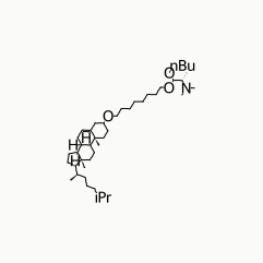 CCCCOC(OCCCCCCCCOC1CC[C@@]2(C)C(=CC[C@H]3[C@@H]4CC[C@H]([C@H](C)CCCC(C)C)[C@@]4(C)CC[C@@H]32)C1)[C@H](C)N(C)C